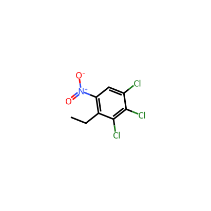 CCc1c([N+](=O)[O-])cc(Cl)c(Cl)c1Cl